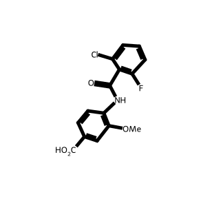 COc1cc(C(=O)O)ccc1NC(=O)c1c(F)cccc1Cl